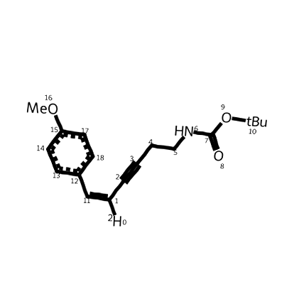 [2H]/C(C#CCCNC(=O)OC(C)(C)C)=C/c1ccc(OC)cc1